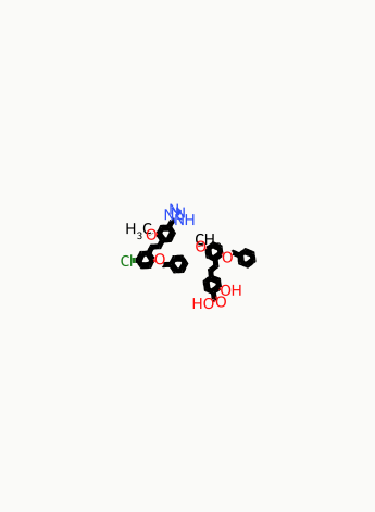 COc1cc(-c2nnn[nH]2)ccc1CCc1cc(Cl)ccc1OCc1ccccc1.COc1ccc(OCc2ccccc2)c(CCc2ccc(C(=O)O)c(O)c2)c1